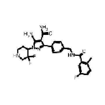 Cc1ccc(F)cc1C(=O)NCc1ccc(-c2nn(C3CCNCC3(F)F)c(N)c2C(N)=O)cc1